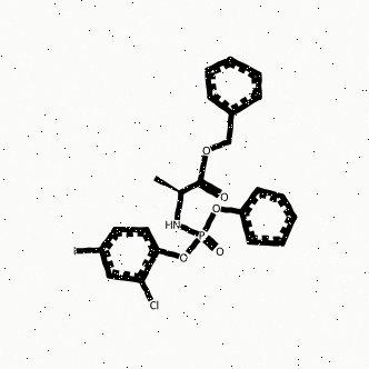 C[C@H](NP(=O)(Oc1ccccc1)Oc1ccc(I)cc1Cl)C(=O)OCc1ccccc1